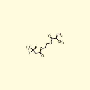 C=C(C)C(=O)OCCOC(=O)CC(F)(F)C(F)(F)F